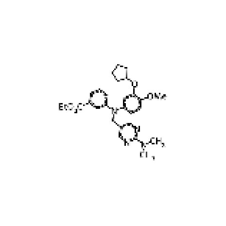 CCOC(=O)c1cccc(N(Cc2cnc(N(C)C)nc2)c2ccc(OC)c(OC3CCCC3)c2)c1